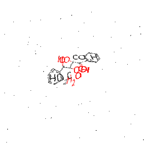 O.O=C(O)[C@](O)(C(=O)c1ccccc1)[C@](O)(C(=O)O)C(=O)c1ccccc1